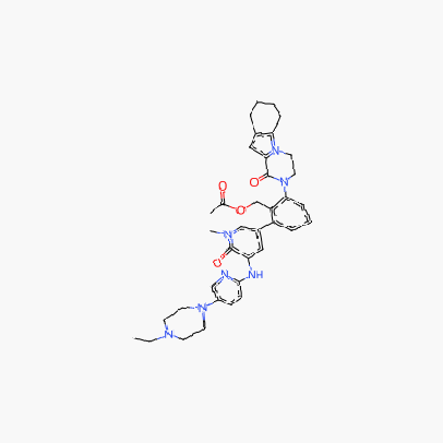 CCN1CCN(c2ccc(Nc3cc(-c4cccc(N5CCn6c(cc7c6CCCC7)C5=O)c4COC(C)=O)cn(C)c3=O)nc2)CC1